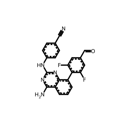 N#Cc1ccc(Nc2nc(N)c3cccc(-c4c(F)cc(C=O)cc4F)c3n2)cc1